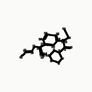 C=C(C1CCCCC1)N(CC)c1cccc(C(=N)C/C=C/C)c1